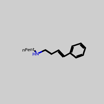 CCCCCNCCC=Cc1ccccc1